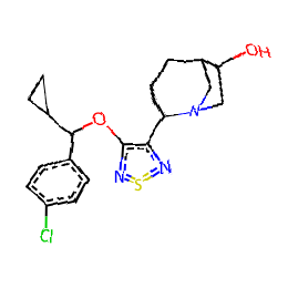 OC1CN2CC1CCC2c1nsnc1OC(c1ccc(Cl)cc1)C1CC1